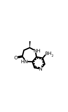 Bc1cncc2c1N[C@H](C)CC(=O)N2